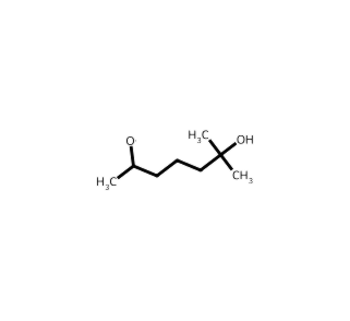 CC([O])CCCC(C)(C)O